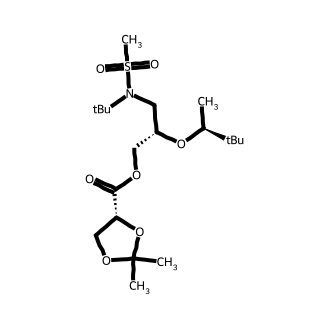 C[C@H](O[C@H](COC(=O)[C@H]1COC(C)(C)O1)CN(C(C)(C)C)S(C)(=O)=O)C(C)(C)C